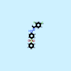 C/C(=N\Nc1ccc(S(=O)(=O)c2ccccc2)cc1)c1ccc(F)cc1F